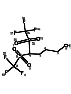 CCCCC(S(=O)(=O)C(F)(F)F)S(=O)(=O)C(F)(F)F